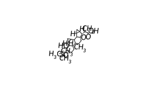 C=C(C(=O)O)[C@@]12O[C@@]13CCC1C(C3[C@@H]3C[C@@H]32)[C@H]2C[C@H]2[C@]2(O)C[C@@H](O[Si](C)(C)C)CC[C@]12C